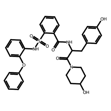 O=C(NC(Cc1ccc(O)cc1)C(=O)N1CCC(O)CC1)c1ccccc1S(=O)(=O)Nc1ccccc1Oc1ccccc1